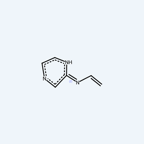 C=C/N=c1/cncc[nH]1